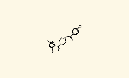 Cn1cc(Br)c(C(=O)N2CCN(CC(=O)c3ccc(Cl)cc3)CC2)n1